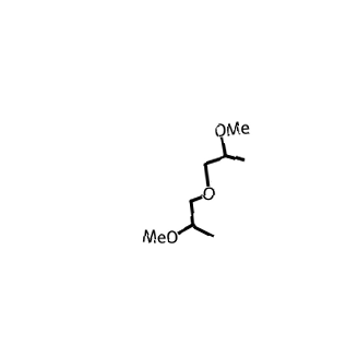 COC(C)COCC(C)OC